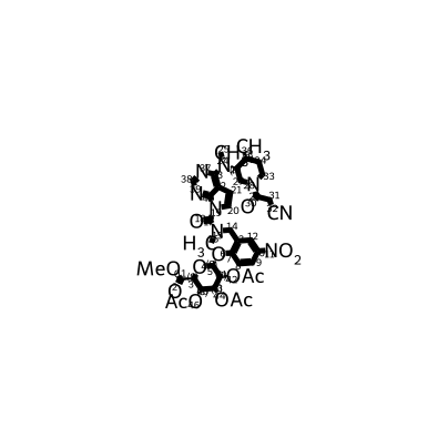 COC(=O)[C@H]1O[C@@H](Oc2ccc([N+](=O)[O-])cc2CN(C)C(=O)n2ccc3c(N(C)[C@H]4CN(C(=O)CC#N)CC[C@H]4C)ncnc32)[C@H](OC(C)=O)[C@@H](OC(C)=O)[C@@H]1OC(C)=O